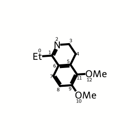 CCC1=NCCc2c1ccc(OC)c2OC